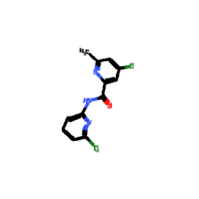 Cc1cc(Cl)cc(C(=O)Nc2cccc(Cl)n2)n1